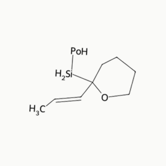 CC=CC1([SiH2][PoH])CCCCO1